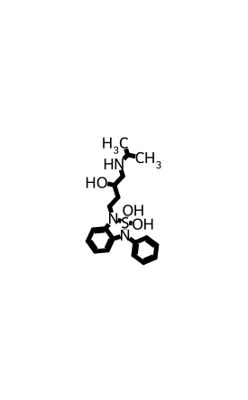 CC(C)NCC(O)CCN1c2ccccc2N(c2ccccc2)S1(O)O